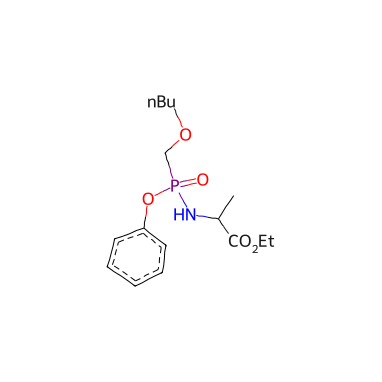 CCCCOCP(=O)(NC(C)C(=O)OCC)Oc1ccccc1